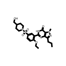 CCCc1nn(C)c2c(=O)[nH]c(-c3cc(S(=O)(=O)N4CCC(CO)CC4)ccc3OCC)nc12